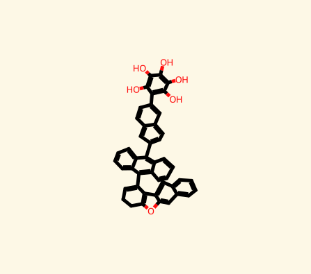 Oc1c(O)c(O)c(-c2ccc3cc(-c4c5ccccc5c(C5=CCCc6oc7cc8ccccc8cc7c65)c5ccccc45)ccc3c2)c(O)c1O